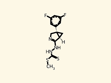 CSC(=S)NNC1=NC[C@@]2(c3cc(F)cc(F)c3)C[C@@H]12